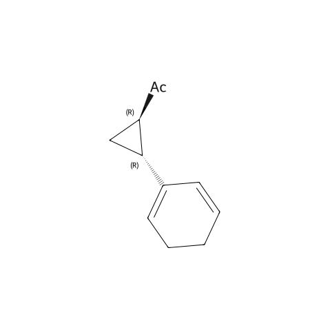 CC(=O)[C@@H]1C[C@H]1C1=CCCC=C1